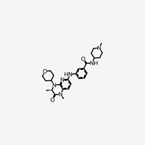 C[C@@H]1C(=O)N(C)c2ccc(Nc3cccc(C(=O)NC4CCN(C)CC4)c3)nc2N1C1CCOCC1